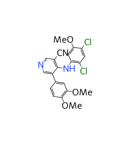 COc1cc(Nc2c(C#N)cncc2-c2ccc(OC)c(OC)c2)c(Cl)cc1Cl